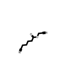 N#CCCCCC(=O)OCC#N